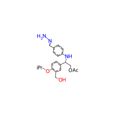 CC(=O)OCC(Nc1ccc(C=NN)cc1)c1ccc(OC(C)C)c(CO)c1